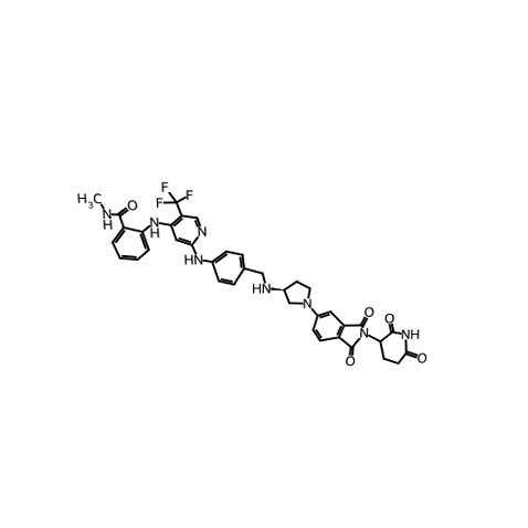 CNC(=O)c1ccccc1Nc1cc(Nc2ccc(CN[C@H]3CCN(c4ccc5c(c4)C(=O)N(C4CCC(=O)NC4=O)C5=O)C3)cc2)ncc1C(F)(F)F